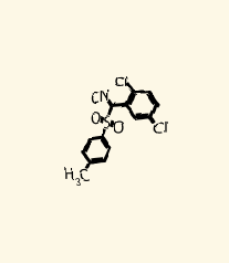 [C-]#[N+]C(c1cc(Cl)ccc1Cl)S(=O)(=O)c1ccc(C)cc1